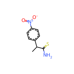 CC(C(N)=S)c1ccc([N+](=O)[O-])cc1